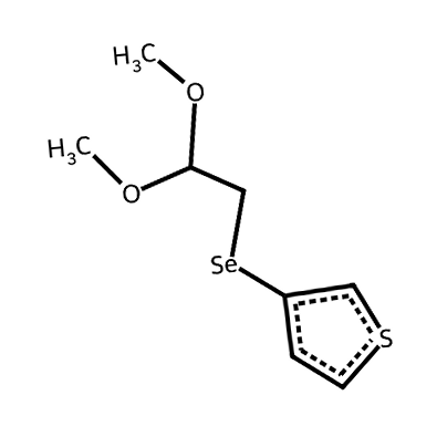 COC(C[Se]c1ccsc1)OC